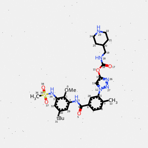 COc1c(NC(=O)c2ccc(C)c(-n3cc(OC(=O)NCC4CCNCC4)nn3)c2)cc(C(C)(C)C)cc1NS(C)(=O)=O